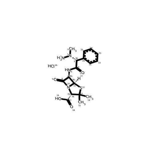 CN(N)[C@@H](C(=O)N[C@@H]1C(=O)N2[C@@H]1SC(C)(C)[C@@H]2C(=O)O)c1ccccc1.Cl